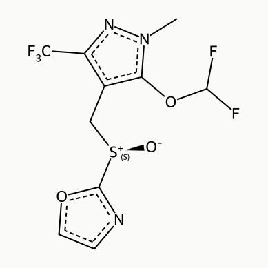 Cn1nc(C(F)(F)F)c(C[S@@+]([O-])c2ncco2)c1OC(F)F